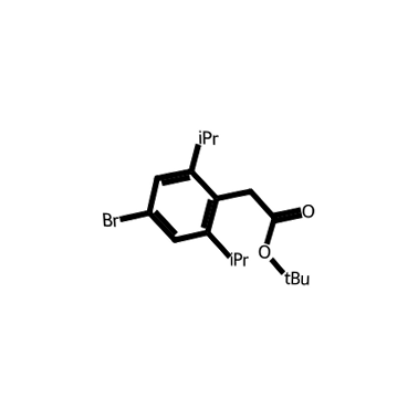 CC(C)c1cc(Br)cc(C(C)C)c1CC(=O)OC(C)(C)C